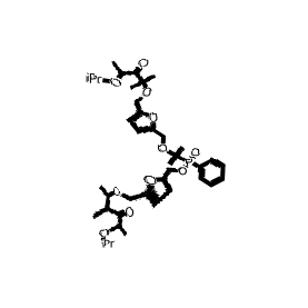 CC(C)OC(C)C(=O)C(C)C(C)OCc1ccc(COP(=O)(c2ccccc2)C(C)(C)OCc2ccc(COC(C)(C)C(=O)C(C)OC(C)C)o2)o1